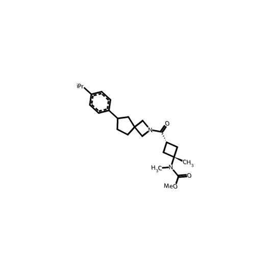 COC(=O)N(C)[C@]1(C)C[C@H](C(=O)N2CC3(CCC(c4ccc(C(C)C)cc4)C3)C2)C1